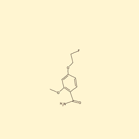 COc1cc(OCCF)ccc1C(N)=O